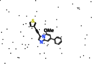 COc1cc(-c2ccccc2)cc2ncc(C#Cc3ccsc3)n12